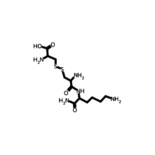 NCCCCC(NC(=O)C(N)CSSCC(N)C(=O)O)C(N)=O